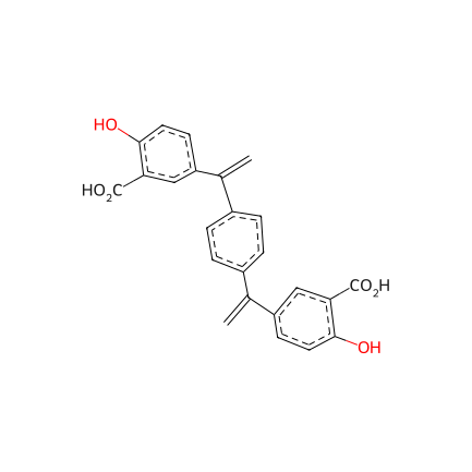 C=C(c1ccc(C(=C)c2ccc(O)c(C(=O)O)c2)cc1)c1ccc(O)c(C(=O)O)c1